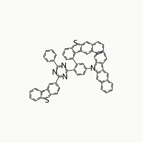 c1ccc(-c2nc(-c3ccc4sc5ccccc5c4c3)nc(-c3ccc(-n4c5ccccc5c5cc6ccccc6cc54)cc3-c3cccc4sc5cc6ccccc6cc5c34)n2)cc1